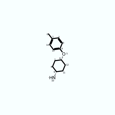 Cc1ccc(O[C@H]2CC[C@@H]([NH])CC2)cc1